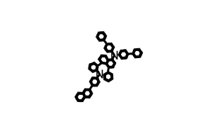 c1ccc(-c2ccc(N(c3ccc(-c4ccccc4)cc3)c3ccc4c5c(cccc35)-c3ccccc3N(c3ccc(-c5ccc6ccccc6c5)cc3)c3ccccc3-4)cc2)cc1